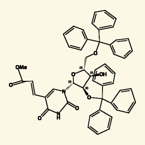 COC(=O)C=Cc1cn([C@@H]2O[C@H](COC(c3ccccc3)(c3ccccc3)c3ccccc3)[C@@H](O)[C@H]2OC(c2ccccc2)(c2ccccc2)c2ccccc2)c(=O)[nH]c1=O